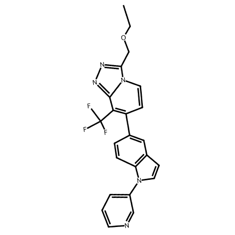 CCOCc1nnc2c(C(F)(F)F)c(-c3ccc4c(ccn4-c4cccnc4)c3)ccn12